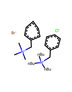 CCCC[N+](CCCC)(CCCC)Cc1ccccc1.C[N+](C)(C)Cc1ccccc1.[Br-].[Cl-]